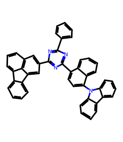 c1ccc(-c2nc(-c3cc4c5c(cccc5c3)-c3ccccc3-4)nc(-c3ccc(-n4c5ccccc5c5ccccc54)c4ccccc34)n2)cc1